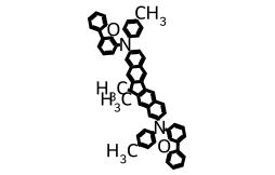 Cc1ccc(N(c2ccc3cc4c(cc3c2)C(C)(C)c2cc3cc(N(c5ccc(C)cc5)c5cccc6c5oc5ccccc56)ccc3cc2-4)c2cccc3c2oc2ccccc23)cc1